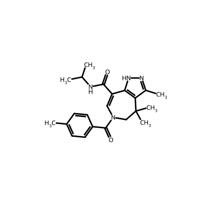 Cc1ccc(C(=O)N2C=C(C(=O)NC(C)C)c3[nH]nc(C)c3C(C)(C)C2)cc1